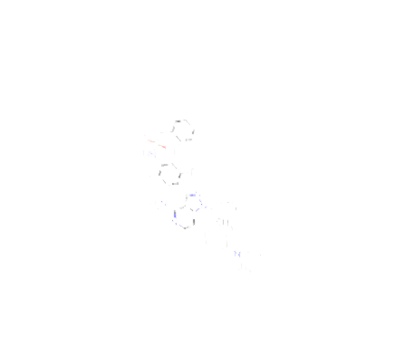 CC(C)n1nc(-c2cc(F)c(NS(=O)(=O)Cc3ccccc3F)cc2F)c2c(N)ncc(C3CCC(N(C)C)CC3)c21